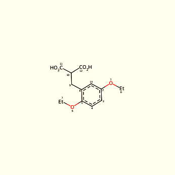 CCOc1ccc(OCC)c(CC(C(=O)O)C(=O)O)c1